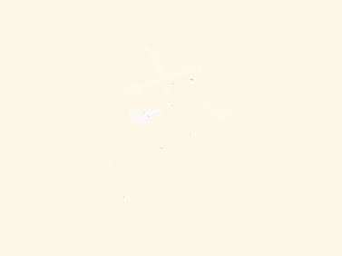 CC(C)c1ccccc1SC(N)(CO)P(=O)(O)O